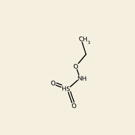 CCON[SH](=O)=O